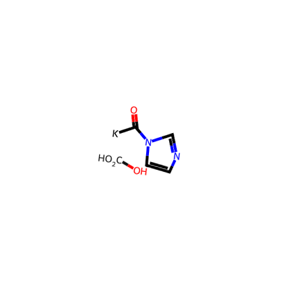 O=C(O)O.O=[C]([K])n1ccnc1